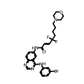 O=C(C=CC(F)(F)CCCCN1CCOCC1)Nc1ccc2ncnc(Nc3cccc(Br)c3)c2c1